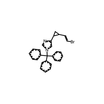 BrC=CC1CC1c1cn(C(c2ccccc2)(c2ccccc2)c2ccccc2)cn1